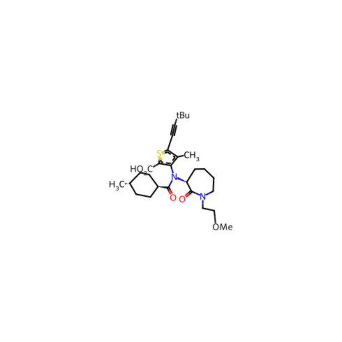 COCCN1CCCC[C@H](N(c2c(C(=O)O)sc(C#CC(C)(C)C)c2C)C(=O)[C@H]2CC[C@H](C)CC2)C1=O